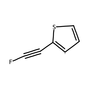 FC#Cc1[c]ccs1